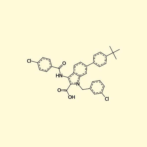 CC(C)(C)c1ccc(-c2ccc3c(NC(=O)c4ccc(Cl)cc4)c(C(=O)O)n(Cc4cccc(Cl)c4)c3c2)cc1